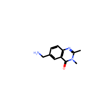 Cc1nc2ccc(CN)cc2c(=O)n1C